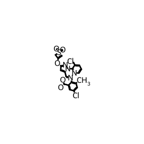 Cc1cc(Cl)cc2c(=O)oc(-c3cc(OC4=CS(=O)(=O)C4)nn3-c3ncccc3Cl)nc12